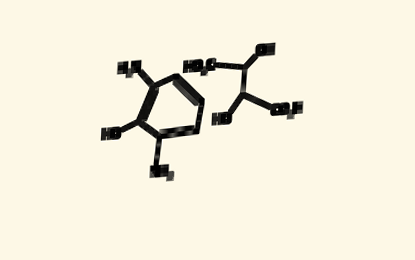 Nc1cccc(N)c1O.O=C(O)C(O)C(O)C(=O)O